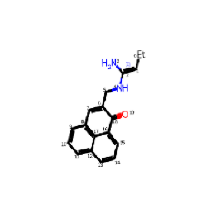 CC/C=C(\N)NCC1=Cc2cccc3cccc(c23)C1=O